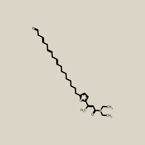 CCN(CC)C(=O)C=C(C)c1ccc(CCCCCCCCC=CCC=CCC=CCC=O)o1